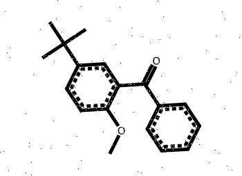 COc1ccc(C(C)(C)C)cc1C(=O)c1ccccc1